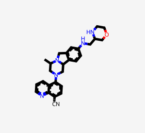 CC1CN(c2ccc(C#N)c3ncccc23)CC2c3ccc(NCC4COCCN4)cc3CN12